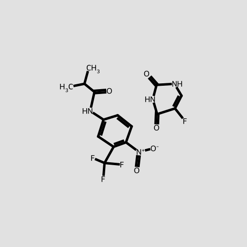 CC(C)C(=O)Nc1ccc([N+](=O)[O-])c(C(F)(F)F)c1.O=c1[nH]cc(F)c(=O)[nH]1